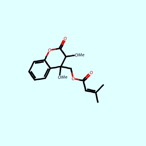 COC1C(=O)Oc2ccccc2C1(COC(=O)C=C(C)C)OC